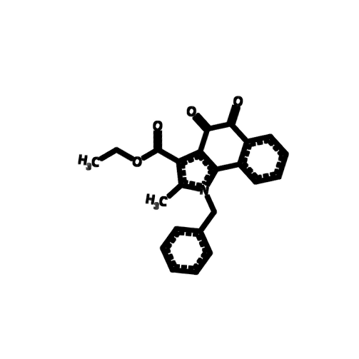 CCOC(=O)c1c2c(n(Cc3ccccc3)c1C)-c1ccccc1C(=O)C2=O